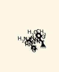 CC1(C)CC(=O)c2c(CC3CC3)nn(-c3ncc(C(N)=O)c(NC4CCOC4)n3)c2C1